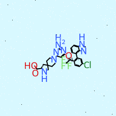 Nc1nc(O[C@H](c2ccc(Cl)cc2-c2cccc3[nH]cnc23)C(F)(F)F)cc(N2CCC3(CC2)CNC(C(=O)O)C3)n1